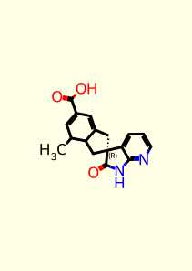 CC1C=C(C(=O)O)C=C2C[C@@]3(CC21)C(=O)Nc1ncccc13